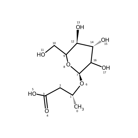 C[C@H](CC(=O)O)O[C@H]1OC(CO)[C@@H](O)[C@H](O)C1O